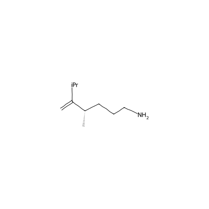 C=C(C(C)C)[C@@H](C)CCCN